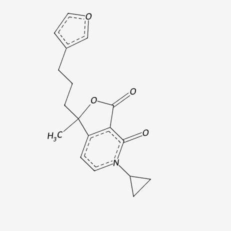 CC1(CCCc2ccoc2)OC(=O)c2c1ccn(C1CC1)c2=O